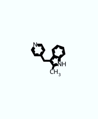 Cc1[nH]c2ccccc2c1Cc1ccncc1